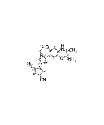 C[C@H](Nc1ccc2c(c1)OCCn1cc(N3CC(C#N)CC3=C=O)nc1-2)C(N)=O